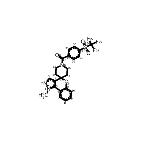 Cn1ncc2c1-c1ccccc1OC21CCN(C(=O)c2ccc(S(=O)(=O)C(F)(F)F)cc2)CC1